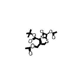 CC(=O)OCC1=C(C(=O)OC(C)(C)C)N2C(=O)[C@@H](OC(C)=O)C2SC1